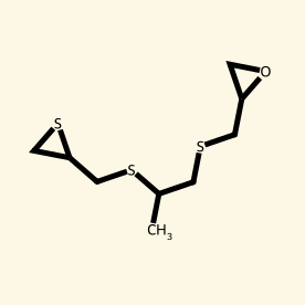 CC(CSCC1CO1)SCC1CS1